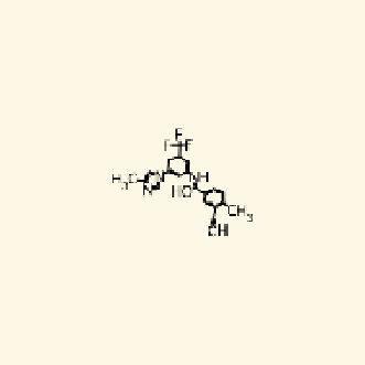 C#Cc1cc(C(O)NC2=CC(C(F)(F)F)CC(n3cnc(C)c3)=C2)ccc1C